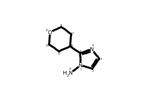 Nn1ccnc1C1CCOCC1